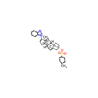 Cc1ccc(S(=O)(=O)O[C@H]2CC[C@@]3(C)C(=CC[C@@H]4[C@@H]3CC[C@]3(C)C(n5cnc6ccccc65)=CC[C@@H]43)C2)cc1